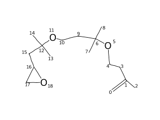 C=C(C)CCOC(C)(C)CCOC(C)(C)CC1CO1